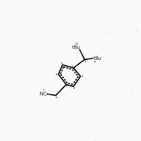 CC(C)(C)C(c1ccc(CC#N)cc1)C(C)(C)C